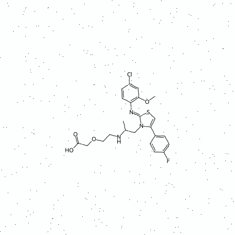 COc1cc(Cl)ccc1N=c1scc(-c2ccc(F)cc2)n1CC(C)NCCOCC(=O)O